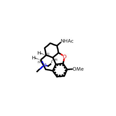 COc1ccc2c3c1OC1C(NC(C)=O)CC[C@@H]4[C@H](C2)N(C)CC[C@@]314